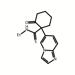 CCNC(=S)C1(c2ccc3nccn3c2)CCCCC1=O